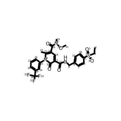 CCS(=O)(=O)c1ccc(CNC(=O)c2cc(C(=O)N(C)OC)c(C)n(-c3cccc(C(F)(F)F)c3)c2=O)cc1